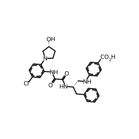 O=C(Nc1cc(Cl)ccc1N1CC[C@@H](O)C1)C(=O)N[C@H](CNc1ccc(C(=O)O)cc1)Cc1ccccc1